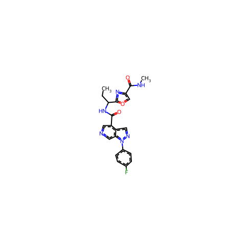 CCC(NC(=O)c1cncc2c1cnn2-c1ccc(F)cc1)c1nc(C(=O)NC)co1